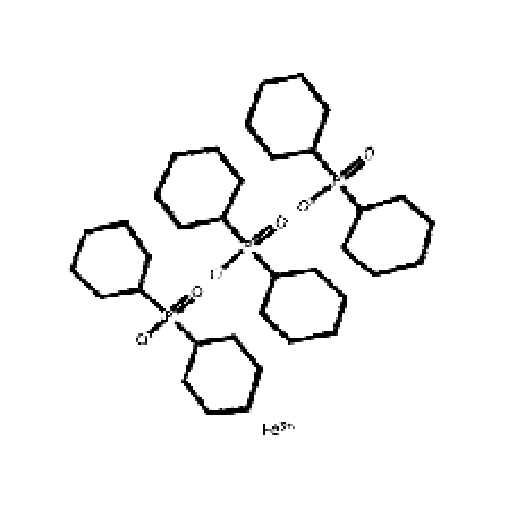 O=P([O-])(C1CCCCC1)C1CCCCC1.O=P([O-])(C1CCCCC1)C1CCCCC1.O=P([O-])(C1CCCCC1)C1CCCCC1.[Fe+3]